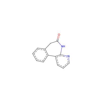 O=C1Cc2ccccc2-c2cccnc2N1